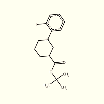 CC(C)(C)OC(=O)C1CCCN(c2ccccc2I)C1